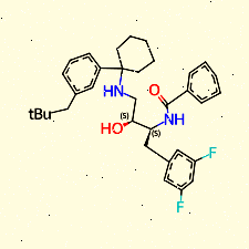 CC(C)(C)Cc1cccc(C2(NC[C@H](O)[C@H](Cc3cc(F)cc(F)c3)NC(=O)c3ccccc3)CCCCC2)c1